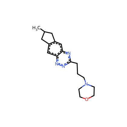 CC1Cc2cc3nnc(CCCN4CCOCC4)nc3cc2C1